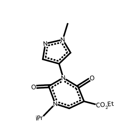 CCOC(=O)c1cn(C(C)C)c(=O)n(-c2cnn(C)c2)c1=O